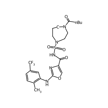 CCCCC(=O)N1CCCN(S(=O)(=O)NC(=O)c2coc(Nc3cc(C(F)(F)F)ccc3C)n2)CC1